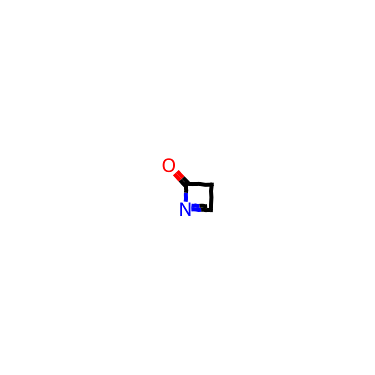 O=C1CC=N1